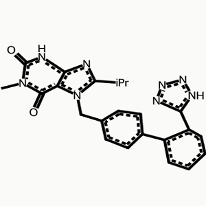 CC(C)c1nc2[nH]c(=O)n(C)c(=O)c2n1Cc1ccc(-c2ccccc2-c2nnn[nH]2)cc1